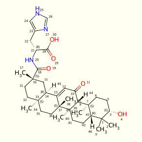 CC1(C)[C@@H](O)CC[C@]2(C)[C@H]3C(=O)C=C4[C@@H]5C[C@@](C)(C(=O)N[C@H](Cc6c[nH]cn6)C(=O)O)CC[C@]5(C)CC[C@@]4(C)[C@]3(C)CC[C@@H]12